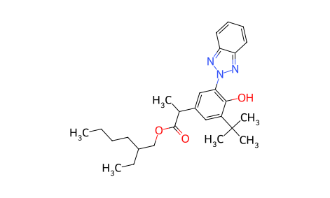 CCCCC(CC)COC(=O)C(C)c1cc(-n2nc3ccccc3n2)c(O)c(C(C)(C)C)c1